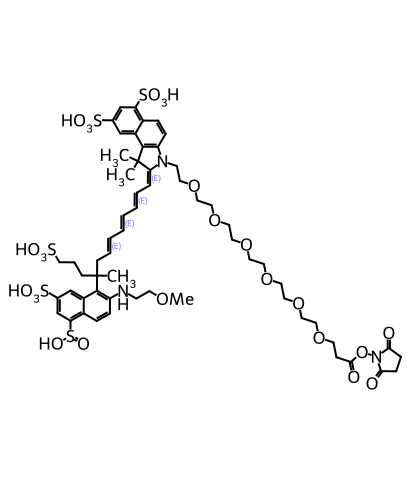 COCCNc1ccc2c(S(=O)O)cc(S(=O)(=O)O)cc2c1C(C)(C/C=C/C=C/C=C/C=C1/N(CCOCCOCCOCCOCCOCCOCCC(=O)ON2C(=O)CCC2=O)c2ccc3c(S(=O)(=O)O)cc(S(=O)(=O)O)cc3c2C1(C)C)CCCS(=O)(=O)O